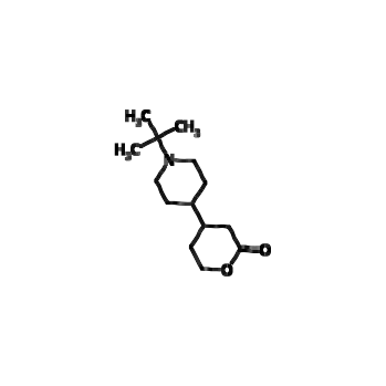 CC(C)(C)N1CCC(C2CCOC(=O)C2)CC1